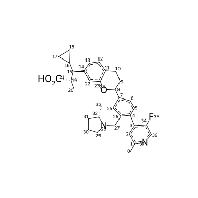 Cc1cc(-c2ccc(C3CCc4ccc([C@H](C5CC5)[C@H](C)C(=O)O)cc4O3)cc2CN2CCC[C@@H]2C)c(F)cn1